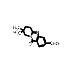 CC1(C)CCc2nc3cc(C=O)ccc3c(=O)n2C1